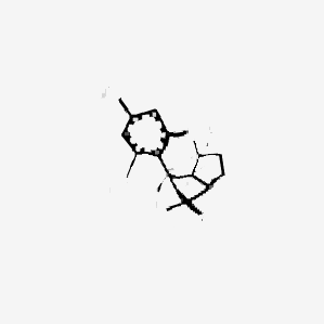 CCCc1cc(O)c2c(c1)O[C@@H]1CCC3[C@@H]1[C@@H]2C3(C)C